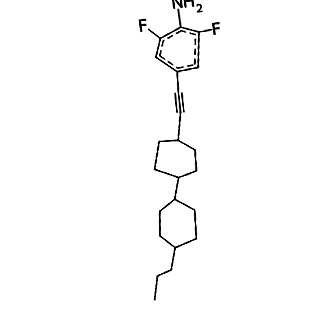 CCCC1CCC(C2CCC(C#Cc3cc(F)c(N)c(F)c3)CC2)CC1